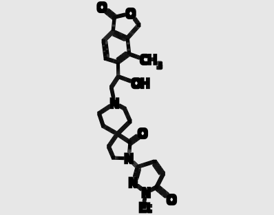 CCn1nc(N2CCC3(CCN(CC(O)c4ccc5c(c4C)COC5=O)CC3)C2=O)ccc1=O